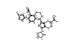 CC(=O)N1CCc2c(c(N3CCCc4c3ccc(-c3cnn(C)c3)c4C#N)nn2[C@H]2CCOC2)C1